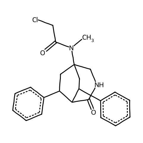 CN(C(=O)CCl)C12CNC(=O)C(C(c3ccccc3)C1)C(c1ccccc1)C2